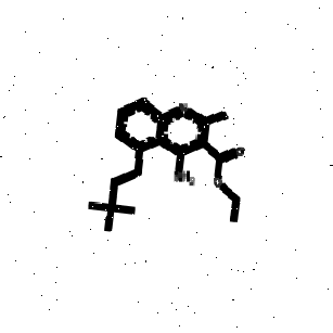 CCOC(=O)c1c(C)nc2cccc(CCC(C)(C)C)c2c1N